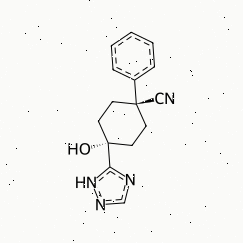 N#C[C@]1(c2ccccc2)CC[C@](O)(c2ncn[nH]2)CC1